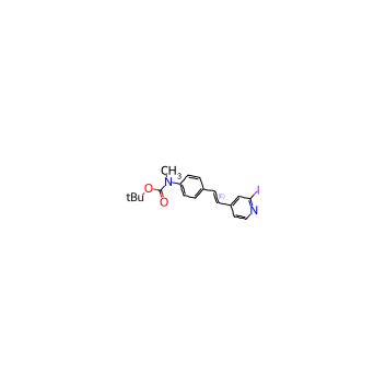 CN(C(=O)OC(C)(C)C)c1ccc(/C=C/c2ccnc(I)c2)cc1